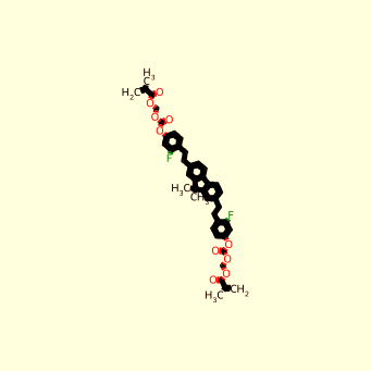 C=C(C)C(=O)OCOC(=O)Oc1ccc(CCc2ccc3c(c2)C(C)(C)c2cc(CCc4ccc(OC(=O)OCOC(=O)C(=C)C)cc4F)ccc2-3)c(F)c1